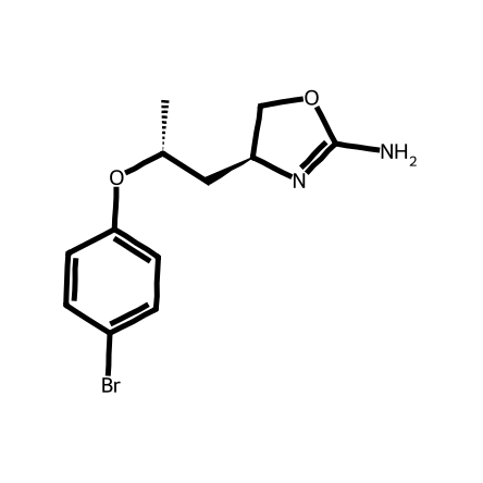 C[C@H](C[C@H]1COC(N)=N1)Oc1ccc(Br)cc1